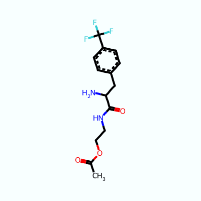 CC(=O)OCCNC(=O)C(N)Cc1ccc(C(F)(F)F)cc1